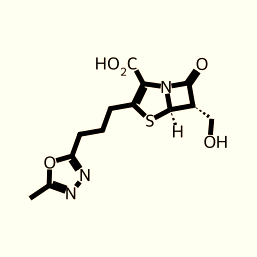 Cc1nnc(CCCC2=C(C(=O)O)N3C(=O)[C@H](CO)[C@H]3S2)o1